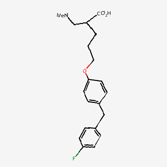 CNCC(CCCOc1ccc(Cc2ccc(F)cc2)cc1)C(=O)O